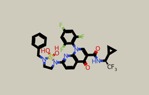 O=C(N[C@@H](C1CC1)C(F)(F)F)c1cn(-c2c(F)cc(F)cc2F)c2nc(N3CCN(Cc4ccccc4)S3(O)O)ccc2c1=O